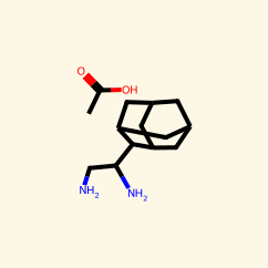 CC(=O)O.NCC(N)C1C2CC3CC(C2)CC1C3